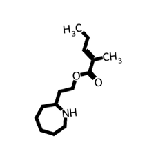 CCC=C(C)C(=O)OCCC1CCCCCN1